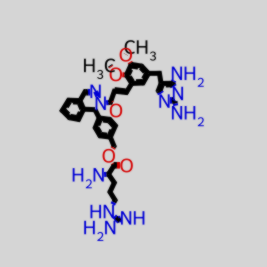 COc1cc(Cc2cnc(N)nc2N)cc(C=CC(=O)N2N=Cc3ccccc3C2c2ccc(COC(=O)C(N)CCCNC(=N)N)cc2)c1OC